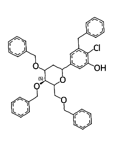 Oc1cc(C2CC(OCc3ccccc3)[C@H](OCc3ccccc3)C(COCc3ccccc3)O2)cc(Cc2ccccc2)c1Cl